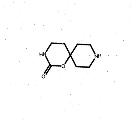 O=C1NCCC2(CCNCC2)O1